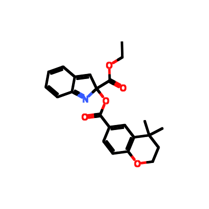 CCOC(=O)C1(OC(=O)c2ccc3c(c2)C(C)(C)CCO3)C=c2ccccc2=N1